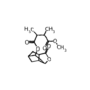 COC(=O)C(C)C(C)C(=O)OC1C2CC3C(=O)OC1C3C2